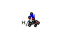 CC1(C)c2ccccc2-c2cc3c(-c4ccccc4-c4ccccc4)c4ccccc4c(-c4ccc(-c5nc6ccccc6n5-c5ccccc5)cc4)c3cc21